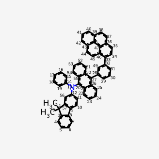 CC1(C)c2ccccc2-c2ccc(N(c3ccccc3)c3c4ccccc4c(-c4cccc(-c5ccc6ccc7cccc8ccc5c6c78)c4)c4ccccc34)cc21